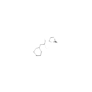 N[C@@H](CC1CCCCC1)C(O)[C@@H]1CNC(=O)O1